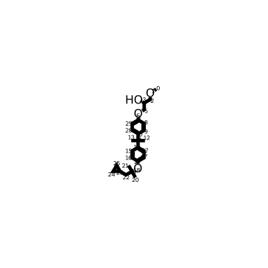 COCC(O)COc1ccc(C(C)(C)c2ccc(OC(C)(C)CC3CC3)cc2)cc1